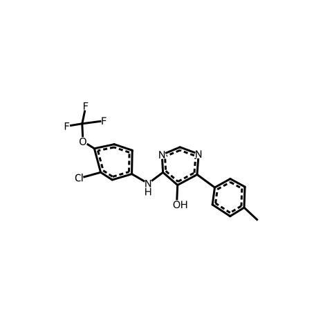 Cc1ccc(-c2ncnc(Nc3ccc(OC(F)(F)F)c(Cl)c3)c2O)cc1